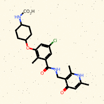 Cc1cc(=O)c(CNC(=O)c2cc(Cl)cc(OC3CCC(NC(=O)O)CC3)c2C)c(C)[nH]1